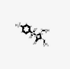 CC[C@@H]1C(=O)N(S(=O)(=O)c2ccc(C)cc2)[C@@H]1CO